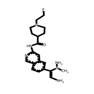 CN(N)/C(=C\N)c1ccc2cnc(NC(=O)C3CCN(CCF)CC3)cc2c1